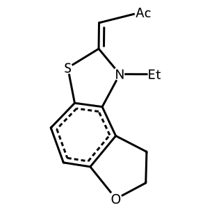 CCN1C(=CC(C)=O)Sc2ccc3c(c21)CCO3